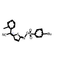 CCC(C)c1ccc(S(=O)(=O)ON=C2C=C/C(=C(\C#N)c3ccccc3C)S2)cc1